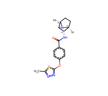 Cc1nnc(Oc2ccc(C(=O)N[C@@H]3C[C@H]4CC[C@@H]3N4)cc2)s1